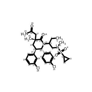 CCC(CN(C)S(=O)(=O)C1CC1)N1C(=O)[C@@](C)(CC(N)=O)C[C@H](c2cccc(Cl)c2)[C@H]1c1ccc(Cl)cc1